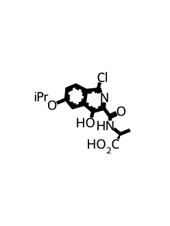 CC(C)Oc1ccc2c(Cl)nc(C(=O)N[C@@H](C)C(=O)O)c(O)c2c1